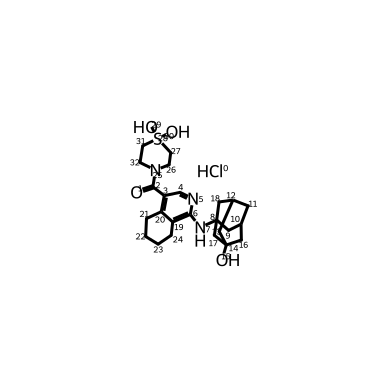 Cl.O=C(c1cnc(NC23CC4CC(CC(O)(C4)C2)C3)c2c1CCCC2)N1CCS(O)(O)CC1